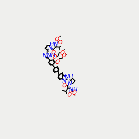 COCCOc1c(-c2ccc(-c3ccc4nc([C@@H]5CCCN5C(=O)[C@@H](NC(=O)OC)C(C)C)[nH]c4c3)cc2)ccc(-c2cnc([C@@H]3C=CCN3C(=O)[C@@H](NC(=O)OC)C(C)C)[nH]2)c1OCCOC